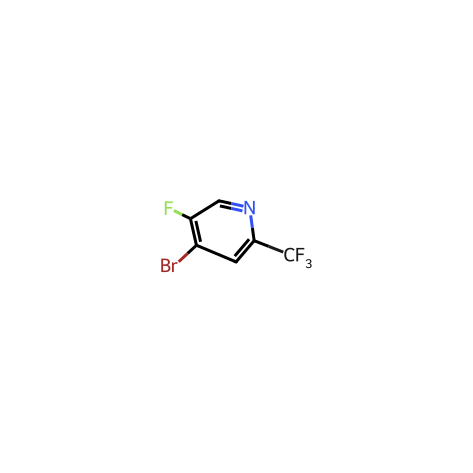 Fc1cnc(C(F)(F)F)cc1Br